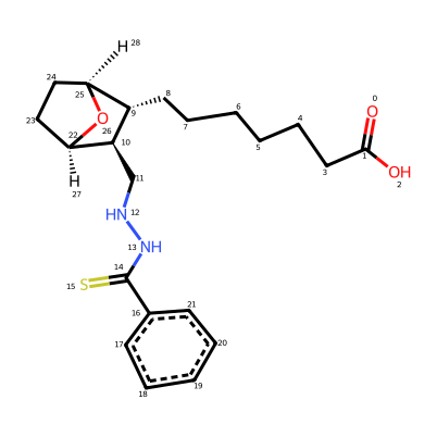 O=C(O)CCCCCC[C@@H]1[C@@H](CNNC(=S)c2ccccc2)[C@H]2CC[C@@H]1O2